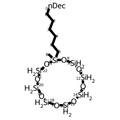 CCCCCCCCCCCCCCCC[Si]1(C)O[SiH2]O[SiH2]O[SiH2]O[SiH2]O[SiH2]O[SiH2]O[SiH2]O1